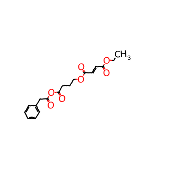 CCOC(=O)/C=C/C(=O)OCCCC(=O)OC(=O)Cc1ccccc1